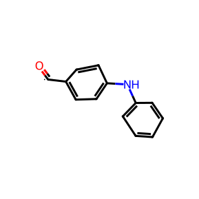 O=[C]c1ccc(Nc2ccccc2)cc1